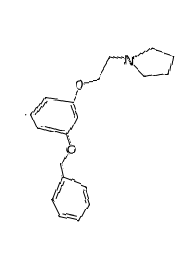 [c]1cc(OCCN2CCCC2)cc(OCc2ccccc2)c1